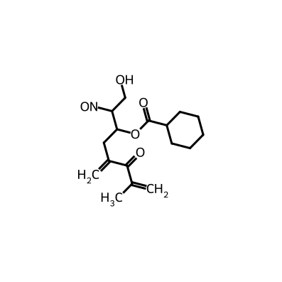 C=C(C)C(=O)C(=C)CC(OC(=O)C1CCCCC1)C(CO)N=O